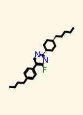 CCCCC[C@H]1CC[C@H](c2ncc(-c3ccc(CCCC)cc3)c(F)n2)CC1